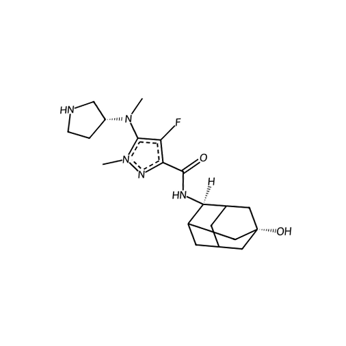 CN(c1c(F)c(C(=O)N[C@H]2C3CC4CC2C[C@](O)(C4)C3)nn1C)[C@@H]1CCNC1